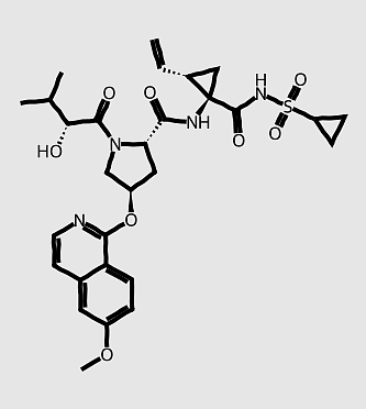 C=C[C@@H]1C[C@]1(NC(=O)[C@@H]1C[C@@H](Oc2nccc3cc(OC)ccc23)CN1C(=O)[C@H](O)C(C)C)C(=O)NS(=O)(=O)C1CC1